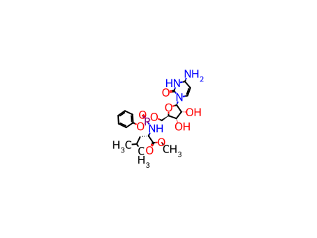 COC(=O)[C@H](CC(C)C)NP(=O)(OC[C@H]1O[C@@H](N2C=CC(N)NC2=O)[C@H](O)[C@@H]1O)Oc1ccccc1